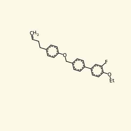 C=CCCc1ccc(OCc2ccc(-c3ccc(OCC)c(F)c3)cc2)cc1